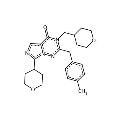 Cc1ccc(Cc2nn3c(C4CCOCC4)ncc3c(=O)n2CC2CCOCC2)cc1